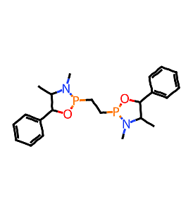 CC1C(c2ccccc2)OP(CCP2OC(c3ccccc3)C(C)N2C)N1C